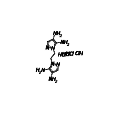 Cl.Cl.Cl.Cl.Nc1cnn(CCn2ncc(N)c2N)c1N